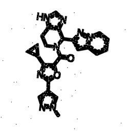 Cn1cc(-c2nc(C3CC3)c(C(=O)N3CCc4[nH]cnc4C3c3cc4ccccn4n3)o2)cn1